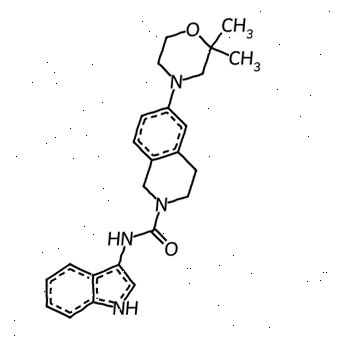 CC1(C)CN(c2ccc3c(c2)CCN(C(=O)Nc2c[nH]c4ccccc24)C3)CCO1